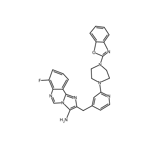 Nc1c(Cc2ccnc(N3CCN(c4nc5ccccc5o4)CC3)c2)nc2c3cccc(F)c3ncn12